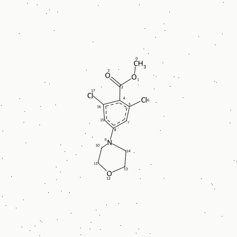 COC(=O)c1c(Cl)cc(N2CCOCC2)cc1Cl